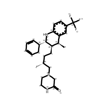 C[C@H](CC[C@@H]1[C@H](C)c2cc(C(F)(F)F)ccc2N[C@H]1C1C=CC=CC1)CN1CCNC(=O)C1